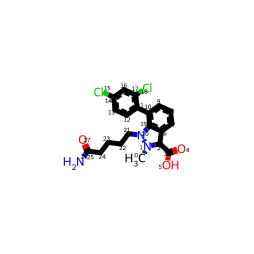 CN1C(C(=O)O)c2cccc(-c3ccc(Cl)cc3Cl)c2N1CCCCC(N)=O